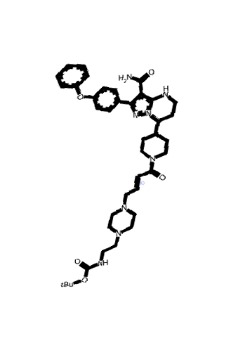 CC(C)(C)OC(=O)NCCN1CCN(C/C=C/C(=O)N2CCC(C3CCNc4c(C(N)=O)c(-c5ccc(Oc6ccccc6)cc5)nn43)CC2)CC1